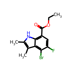 CCOC(=O)c1cc(F)c(Br)c2c(C)c(C)[nH]c12